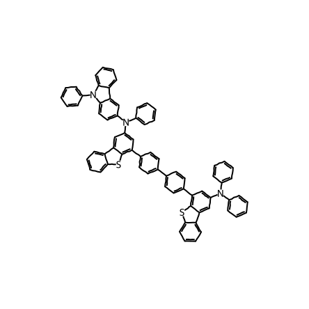 c1ccc(N(c2ccccc2)c2cc(-c3ccc(-c4ccc(-c5cc(N(c6ccccc6)c6ccc7c(c6)c6ccccc6n7-c6ccccc6)cc6c5sc5ccccc56)cc4)cc3)c3sc4ccccc4c3c2)cc1